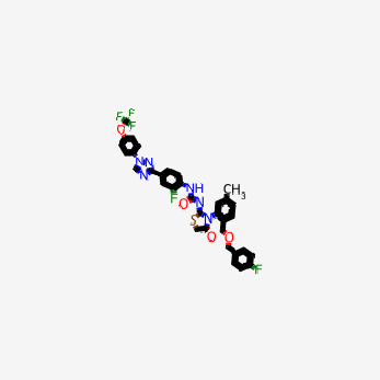 Cc1ccc(COCc2ccc(F)cc2)c(N2C(=O)CSC2=NC(=O)Nc2ccc(-c3ncn(-c4ccc(OC(F)(F)F)cc4)n3)cc2F)c1